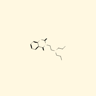 CCCN(CCC)CCn1c(=S)[nH]c2ccccc2c1=O